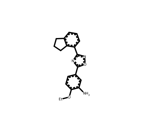 CCOc1ccc(-c2nc(-c3cccc4c3CCC4)no2)cc1N